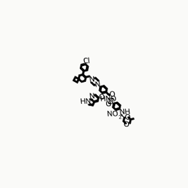 CC1COC[C@@H](CNc2ccc(S(=O)(=O)NC(=O)c3ccc(N4CCN(CC5=C(c6ccc(Cl)cc6)CC6(CCC6)CC5)CC4)cc3Oc3cnc4[nH]ccc4c3)cc2[N+](=O)[O-])O1